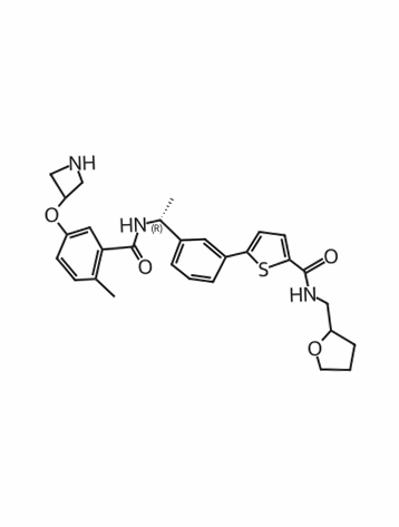 Cc1ccc(OC2CNC2)cc1C(=O)N[C@H](C)c1cccc(-c2ccc(C(=O)NCC3CCCO3)s2)c1